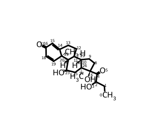 CCC(O)C(=O)[C@@]1(O)CC[C@H]2[C@@H]3CCC4=CC(=O)C=C[C@]4(C)[C@H]3C(O)C[C@@]21C